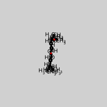 CC(C)(C)OC(=O)/N=C(/NCc1ccc(NC(=O)C23CC(C(=O)Nc4ccc(C5=CCC(N/C(=N/C(=O)OC(C)(C)C)NC(=O)OC(C)(C)C)CC5)cc4)(C2)C3)cc1)NC(=O)OC(C)(C)C